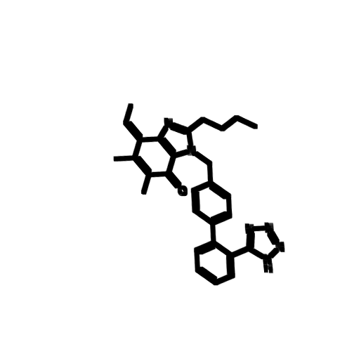 CC=C1C(C)=C(C)C(=O)c2c1nc(CCCC)n2Cc1ccc(-c2ccccc2-c2nnn[nH]2)cc1